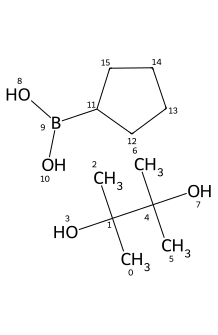 CC(C)(O)C(C)(C)O.OB(O)C1CCCC1